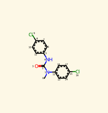 CN(C(=O)Nc1ccc(Cl)cc1)c1ccc(Cl)cc1